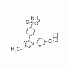 CCc1cn(-c2ccc(Cl)cc2)c(-c2ccc(S(N)(=O)=O)cc2)n1.c1cc2ccc1-2